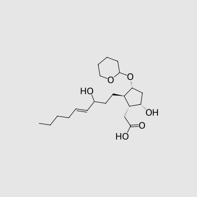 CCCC/C=C/C(O)CC[C@@H]1[C@@H](CC(=O)O)[C@@H](O)C[C@H]1OC1CCCCO1